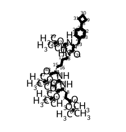 CC(C)(C)OC(=O)CC[C@H](NC(=O)N[C@@H](CCCCNC(=O)[C@H](Cc1ccc(C2CCC2)cc1)NC(=O)OC(C)(C)C)C(=O)OC(C)(C)C)C(=O)OC(C)(C)C